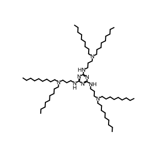 CCCCCCCCCN(CCCCCCCCC)CCCNc1nc(NCCCN(CCCCCCCCC)CCCCCCCCC)nc(NCCCN(CCCCCCCCC)CCCCCCCCC)n1